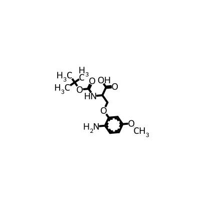 COc1ccc(N)c(OCC(NC(=O)OC(C)(C)C)C(=O)O)c1